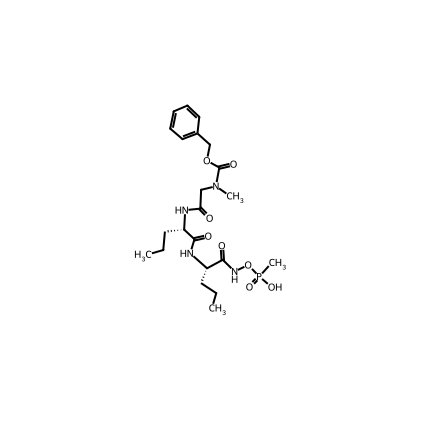 CCC[C@H](NC(=O)CN(C)C(=O)OCc1ccccc1)C(=O)N[C@@H](CCC)C(=O)NOP(C)(=O)O